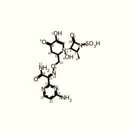 C[C@H]1[C@H]([N+]2(O)C=C(O)C(=O)CC2CO/N=C(\C(N)=O)c2nccc(N)n2)C(=O)N1S(=O)(=O)O